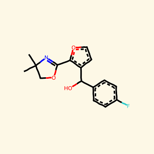 CC1(C)COC(c2occc2C(O)c2ccc(F)cc2)=N1